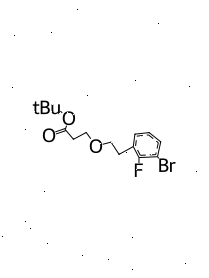 CC(C)(C)OC(=O)CCOCCc1cccc(Br)c1F